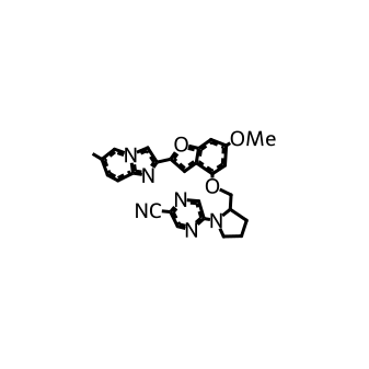 COc1cc(OCC2CCCN2c2cnc(C#N)cn2)c2cc(-c3cn4cc(C)ccc4n3)oc2c1